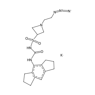 [K].[N-]=[N+]=NCCN1CC(S(=O)(=O)NC(=O)Nc2c3c(cc4c2CCC4)CCC3)C1